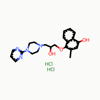 Cc1cc(O)c2ccccc2c1OCC(O)CN1CCN(c2ncccn2)CC1.Cl.Cl